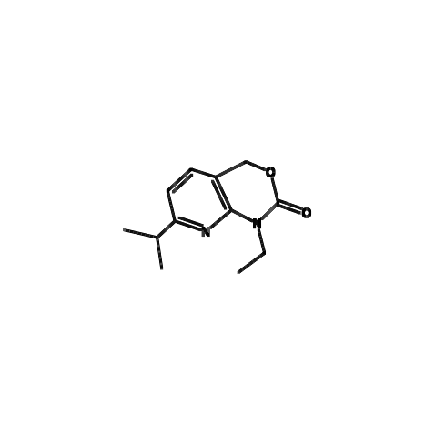 CCN1C(=O)OCc2ccc(C(C)C)nc21